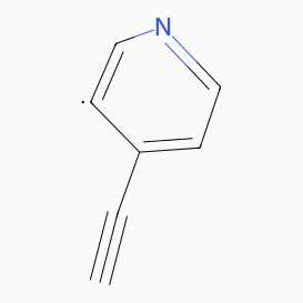 C#Cc1[c]cncc1